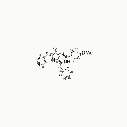 COc1ccc(-c2cn3c(=O)c(Cc4ccncc4)nc-3c(Cc3ccccc3)[nH]2)cc1